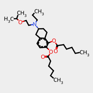 CCCCCC(=O)Oc1ccc2c(c1OC(=O)CCCCC)CC[C@H](N(CCC)CCOC(C)C)C2